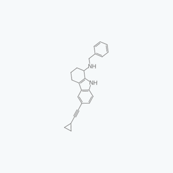 C(#CC1CC1)c1ccc2[nH]c3c(c2c1)CCCC3NCc1ccccc1